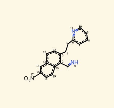 N=Cc1c(CCc2ccccn2)ccc2cc([N+](=O)[O-])ccc12